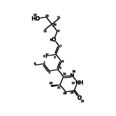 C/C=C/C(=C\C(F)=C\OCC(C)(C)CO)C1=NNC(=O)C[C@H]1C